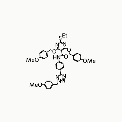 CCSc1nc(OCc2ccc(OC)cc2)c(C(=O)Nc2ccc(-c3nnn(Cc4ccc(OC)cc4)n3)cc2)c(OCc2ccc(OC)cc2)n1